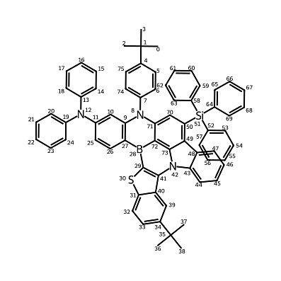 CC(C)(C)c1ccc(N2c3cc(N(c4ccccc4)c4ccccc4)ccc3B3c4sc5ccc(C(C)(C)C)cc5c4-n4c5ccccc5c5c([Si](c6ccccc6)(c6ccccc6)c6ccccc6)cc2c3c54)cc1